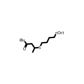 CCCCCCCCCCCCSC(C)CC(=O)C(C)CC